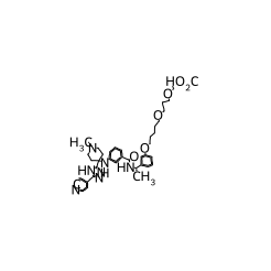 C[C@@H](NC(=O)c1cccc(NC2(c3nnc(-c4ccncc4)[nH]3)CCN(C)CC2)c1)c1cccc(OCCCCCOCCCOCC(=O)O)c1